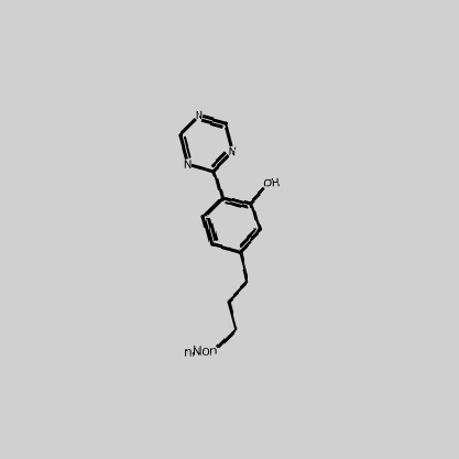 CCCCCCCCCCCCc1ccc(-c2ncncn2)c(O)c1